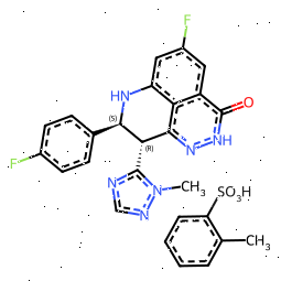 Cc1ccccc1S(=O)(=O)O.Cn1ncnc1[C@H]1c2n[nH]c(=O)c3cc(F)cc(c23)N[C@@H]1c1ccc(F)cc1